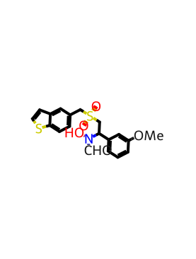 COc1cccc(C(CS(=O)(=O)Cc2ccc3sccc3c2)N(O)C=O)c1